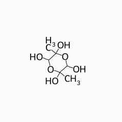 CC1(O)OC(O)C(C)(O)OC1O